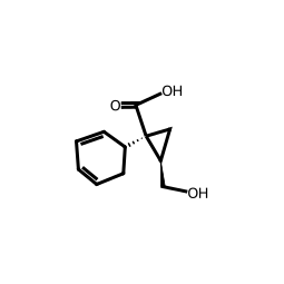 O=C(O)[C@@]1(C2C=CC=CC2)C[C@H]1CO